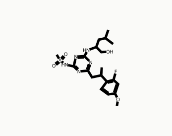 COc1ccc(C(C)Cc2nc(NC(CO)CC(C)C)nc(NS(C)(=O)=O)n2)c(F)c1